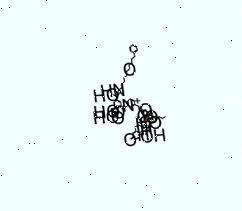 CCCC1O[C@@H]2C[C@H]3[C@@H]4CCC5=CC(=O)C=C[C@]5(C)[C@H]4[C@@H](O)C[C@]3(C)[C@]2(C(=O)COC(=O)/C=C/c2ccc[n+](Cc3cc(C(O)CNCCCCCCOCCCCc4ccccc4)ccc3OP(=O)(O)O)c2)O1